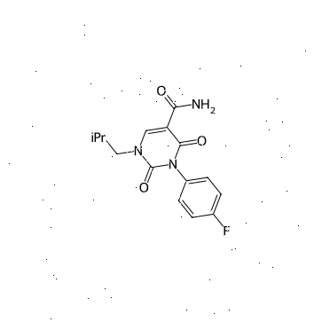 CC(C)Cn1cc(C(N)=O)c(=O)n(-c2ccc(F)cc2)c1=O